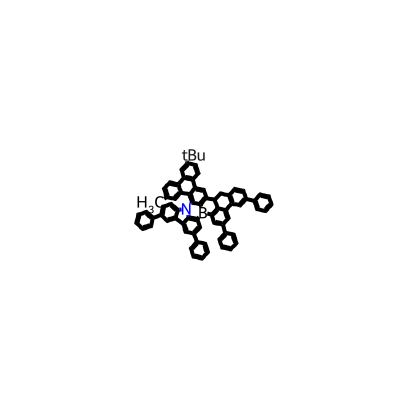 Cc1ccc2c3cc(C(C)(C)C)ccc3c3cc4c5c(c3c2c1)-n1c2ccc(-c3ccccc3)cc2c2cc(-c3ccccc3)cc(c21)B5c1cc(-c2ccccc2)cc2c1C4Cc1ccc(-c3ccccc3)cc1-2